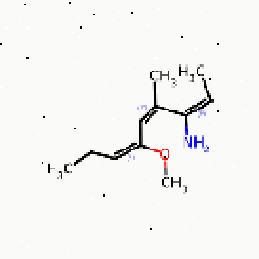 C\C=C(N)/C(C)=C\C(=C/CC)OC